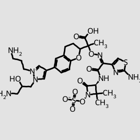 CC(O/N=C(\C(=O)N[C@@H]1C(=O)N(OS(=O)(=O)[O-])C1(C)C)c1csc(N)n1)(C(=O)O)C1CCc2cc(-c3cn(CC(O)CN)[n+](CCCN)c3)ccc2O1